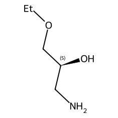 CCOC[C@@H](O)CN